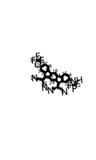 N#CC(C#N)=C1c2cc(NC(F)(F)F)ccc2-c2cc3c(cc21)C(=C(C#N)C#N)c1cc(OC(F)(F)F)ccc1-3